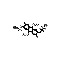 CC(=O)Oc1c2cc(I)c(O[Si](C)(C)C(C)(C)C)cc2c(OC(C)=O)c2cc(I)c(CC(C)(C)[Si](C)(C)O)cc12